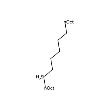 CCCCCCCCCCCCC[SiH2]CCCCCCCC